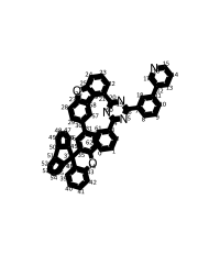 c1ccc(-c2nc(-c3cccc(-c4cccnc4)c3)nc(-c3cccc4oc5ccc(-c6ccc7c(c6)C6(c8ccccc8O7)c7ccccc7-c7ccccc76)cc5c34)n2)cc1